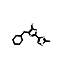 Cc1nc(-c2nc(CC3CCCCC3)c(Br)s2)no1